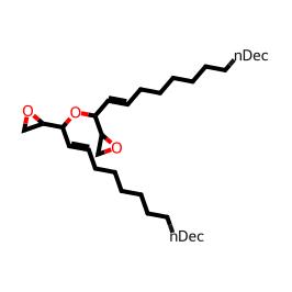 CCCCCCCCCCCCCCCCC=CC(OC(C=CCCCCCCCCCCCCCCCC)C1CO1)C1CO1